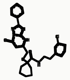 O=C(NCCc1cccc(Cl)c1)C1(OCc2cc(=O)n3nc(-c4ccccc4)nc3[nH]2)CCCCC1